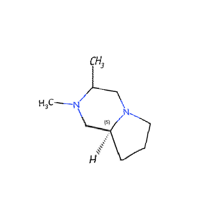 CC1CN2CCC[C@H]2CN1C